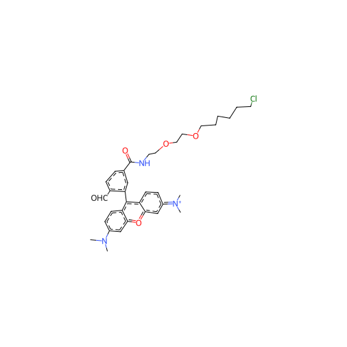 CN(C)c1ccc2c(-c3cc(C(=O)NCCOCCOCCCCCCCl)ccc3C=O)c3ccc(=[N+](C)C)cc-3oc2c1